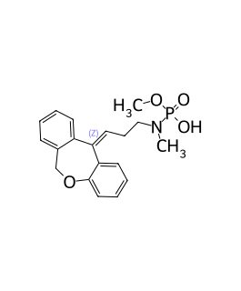 COP(=O)(O)N(C)CC/C=C1/c2ccccc2COc2ccccc21